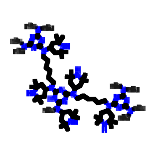 CCCCN(CCCC)c1nc(N(CCCC)CCCC)nc(N(CCCCCCN(C2=NC(N(CCCCCCN(c3nc(N(CCCC)CCCC)nc(N(CCCC)CCCC)n3)C3CC(C)(C)NC(C)(C)C3)C3CC(C)(C)NC(C)(C)C3)NC(N(CCCC)C3CC(C)(C)NC(C)(C)C3)=N2)C2CC(C)(C)NC(C)(C)C2)C2CC(C)(C)NC(C)(C)C2)n1